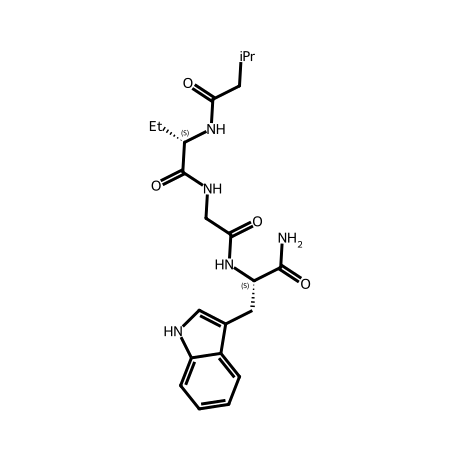 CC[C@H](NC(=O)CC(C)C)C(=O)NCC(=O)N[C@@H](Cc1c[nH]c2ccccc12)C(N)=O